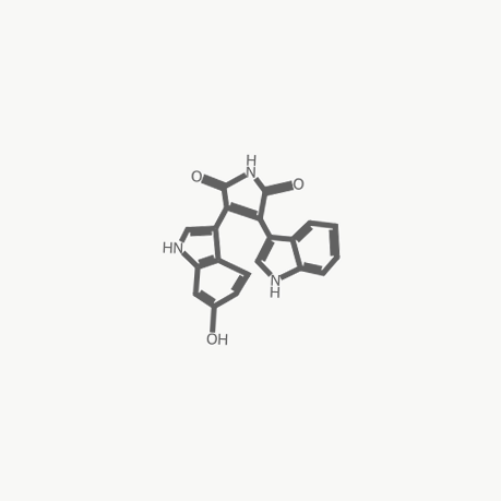 O=C1NC(=O)C(c2c[nH]c3cc(O)ccc23)=C1c1c[nH]c2ccccc12